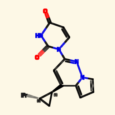 CC(C)[C@H]1C[C@@H]1c1cc(-n2ccc(=O)[nH]c2=O)nn2cccc12